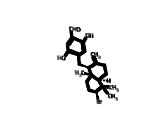 C=C1CC[C@H]2C(C)(C)[C@@H](Br)CC[C@]2(C)[C@H]1Cc1cc(O)c(C=O)cc1O